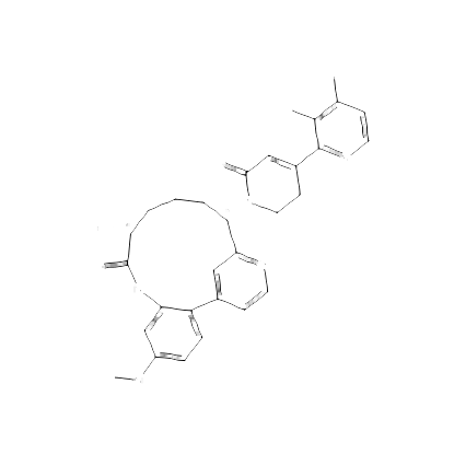 C[C@@H]1CCC[C@H](N2CCC(c3nccc(Cl)c3F)=CC2=O)c2cc(ccn2)-c2ccc(NC(=O)O)cc2NC1=O